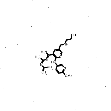 C=C(N)/N=C(C)\N=C(/N)c1cc(CNCCO)cnc1Nc1ccc(OC)nc1